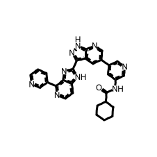 O=C(Nc1cncc(-c2cnc3[nH]nc(-c4nc5c(-c6cccnc6)nccc5[nH]4)c3c2)c1)C1CCCCC1